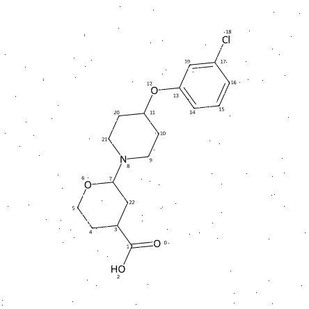 O=C(O)C1CCOC(N2CCC(Oc3cccc(Cl)c3)CC2)C1